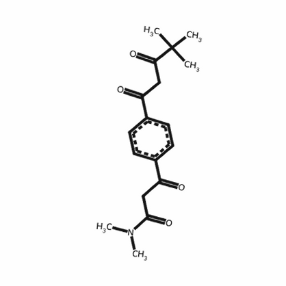 CN(C)C(=O)CC(=O)c1ccc(C(=O)CC(=O)C(C)(C)C)cc1